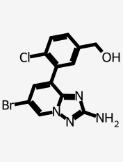 Nc1nc2c(-c3cc(CO)ccc3Cl)cc(Br)cn2n1